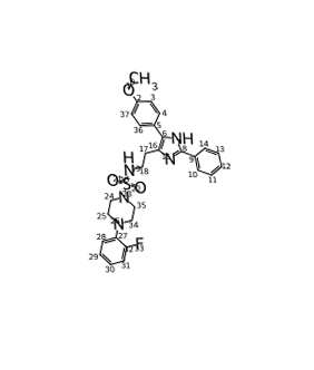 COc1ccc(-c2[nH]c(-c3ccccc3)nc2CCNS(=O)(=O)N2CCN(c3ccccc3F)CC2)cc1